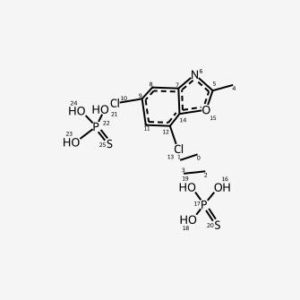 CC.CC.Cc1nc2cc(Cl)cc(Cl)c2o1.OP(O)(O)=S.OP(O)(O)=S